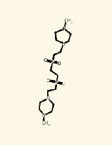 CN1CCN(CCS(=O)(=O)CCS(=O)(=O)CCN2CCN(C)CC2)CC1